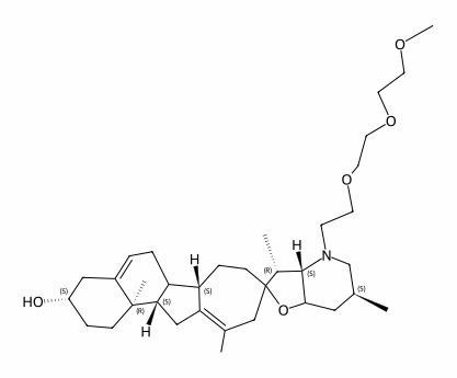 COCCOCCOCCN1C[C@@H](C)CC2OC3(CC[C@@H]4C(=C(C)C3)C[C@H]3C4CC=C4C[C@@H](O)CC[C@@]43C)[C@H](C)[C@@H]21